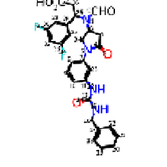 O=CN(C1CC(=O)N(c2cccc(NC(=O)NCc3ccccc3)c2)C1)C(CC(=O)O)c1cc(F)cc(F)c1